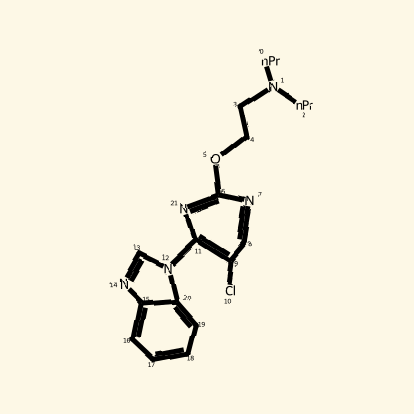 CCCN(CCC)CCOc1ncc(Cl)c(-n2cnc3ccccc32)n1